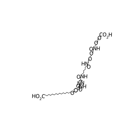 O=C(O)CCCCCCCCCCCCCCCOc1ccc(S(=O)(=O)Nc2ncc(C(=O)NCCCCCC(=O)NCCOCCOCC(=O)NCCOCCOCC(=O)O)cn2)cc1